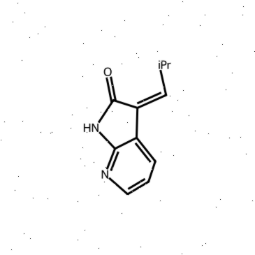 CC(C)C=C1C(=O)Nc2ncccc21